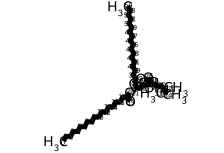 CCCCCCCCCCCCCCCCCCC(=O)OC[C@H](COP(=O)(O)OCC[N+](C)(C)C)OC(=O)CCCCCCCCCCCCCCCCC